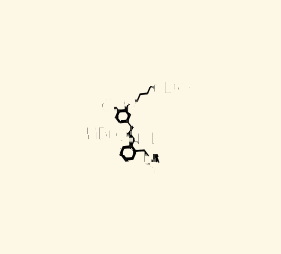 Br.CCCCCCCCCCCCCCOc1cc(CC(=O)Nc2ccccc2CN2C=CSC2)ccc1Cl